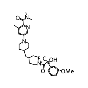 COc1cccc([C@@](O)(C(=O)N2CCC(CC3CCN(c4cnc(C(=O)N(C)C)c(C)c4)CC3)CC2)C(F)(F)F)c1